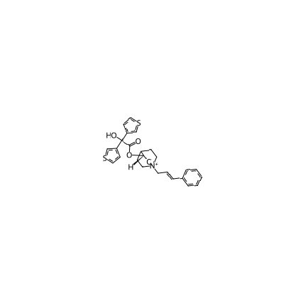 O=C(O[C@H]1C[N+]2(CC=Cc3ccccc3)CCC1CC2)C(O)(c1ccsc1)c1ccsc1